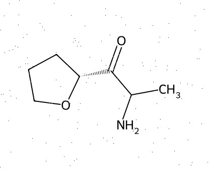 CC(N)C(=O)[C@H]1CCCO1